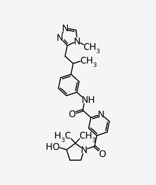 CC(Cc1nncn1C)c1cccc(NC(=O)c2cc(C(=O)N3CCC(O)C3(C)C)ccn2)c1